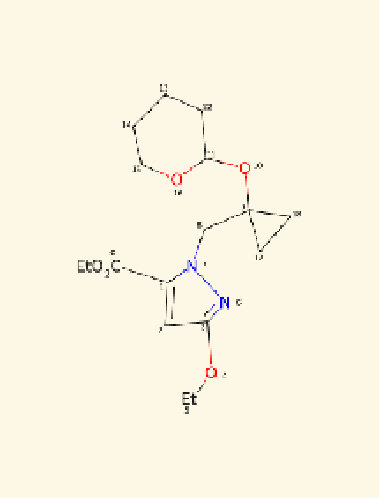 CCOC(=O)c1cc(OCC)nn1CC1(OC2CCCCO2)CC1